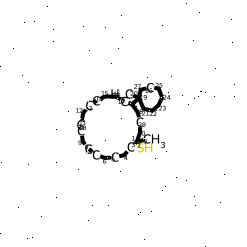 CC1(S)CCCCCCCCCCCCCCCC(C2(C)CCCCCCC2)CCC1